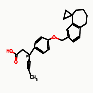 CC#C[C@@H](CC(=O)O)c1ccc(OCc2ccc3c(c2)C2(CCCC3)CC2)cc1